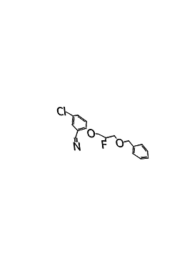 N#Cc1cc(Cl)ccc1OC[C@H](F)COCc1ccccc1